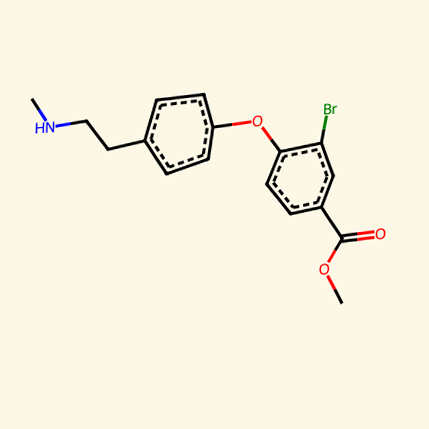 CNCCc1ccc(Oc2ccc(C(=O)OC)cc2Br)cc1